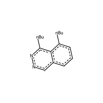 CCCCc1cccc2[c]nnc(CCCC)c12